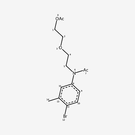 CC(=O)OCCOCCN(C(C)=O)c1ccc(Br)c(C)c1